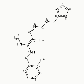 CN/C(NCc1ccccc1F)=C(F)\C=N/COCc1cccs1